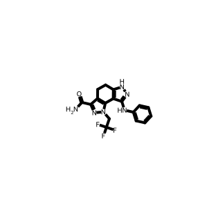 NC(=O)c1nn(CC(F)(F)F)c2c1CCc1[nH]nc(Nc3ccccc3)c1-2